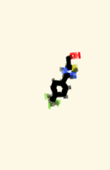 OCc1nc(-c2ccc(C(F)(F)F)cc2)ns1